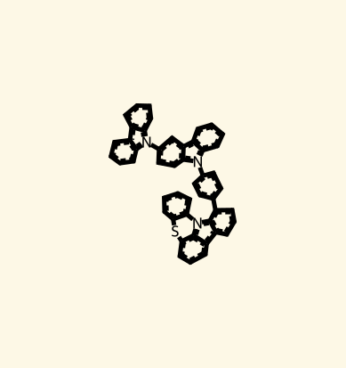 c1ccc2c(c1)Sc1cccc3c4cccc(-c5ccc(-n6c7ccccc7c7cc(-n8c9ccccc9c9ccccc98)ccc76)cc5)c4n-2c13